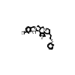 Clc1ccc(CN2CC(CN3CCC(CCSc4ccccc4)CC3)C(c3ccsc3)C2)c(Cl)c1